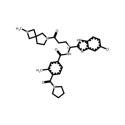 Cc1cc(C(=O)N[C@@H](CCC(=O)N2CCC3(CN(C)C3)C2)c2nc3cc(Cl)ccc3[nH]2)ccc1C(=O)N1CCCC1